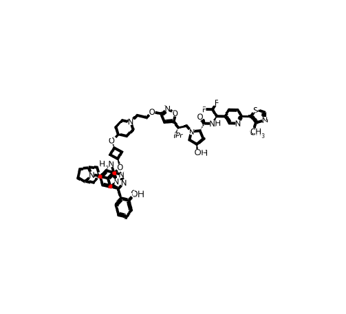 Cc1ncsc1-c1ccc([C@@H](NC(=O)[C@@H]2C[C@@H](O)CN2C[C@@H](c2cc(OCCN3CCC(O[C@H]4C[C@H](Oc5cc(N6C7CCC6CN(c6cc(-c8ccccc8O)nnc6N)C7)ccn5)C4)CC3)no2)C(C)C)C(F)F)cn1